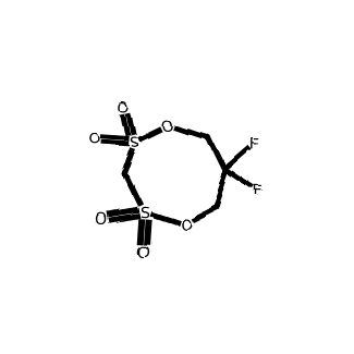 O=S1(=O)CS(=O)(=O)OCC(F)(F)CO1